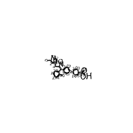 Cc1cc(C/C(=N\O)[C@H](c2ccc([C@H]3CC[C@H](C(=O)O)CC3)cc2)c2ccccc2C)ccn1